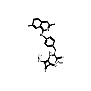 COC(=O)[C@H](Cc1ccc(Nc2nc(C)cc3ccc(F)cc23)cc1)Nc1c(OC(C)C)c(=O)c1=O